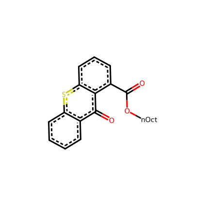 CCCCCCCCOC(=O)c1cccc2sc3ccccc3c(=O)c12